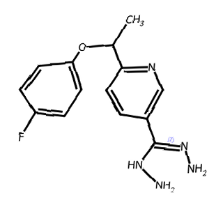 CC(Oc1ccc(F)cc1)c1ccc(/C(=N/N)NN)cn1